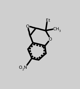 CCC1(C)Oc2ccc([N+](=O)[O-])cc2C2OC21